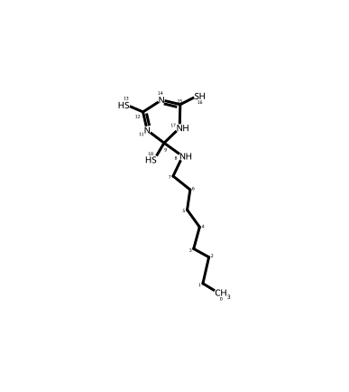 CCCCCCCCNC1(S)N=C(S)N=C(S)N1